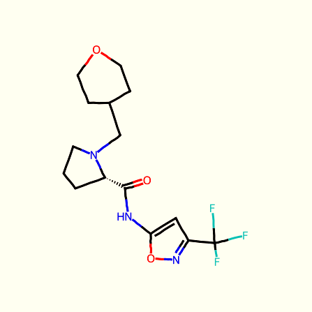 O=C(Nc1cc(C(F)(F)F)no1)[C@@H]1CCCN1CC1CCOCC1